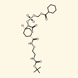 CC(C)(C)OC(=O)NCCONC(=O)[C@@H]1CC[C@@H]2CN1C(=O)N2OS(=O)(=O)OCOC(=O)C1CCCCC1